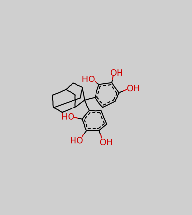 Oc1ccc(C2(c3ccc(O)c(O)c3O)C3CC4CC(C3)CC2C4)c(O)c1O